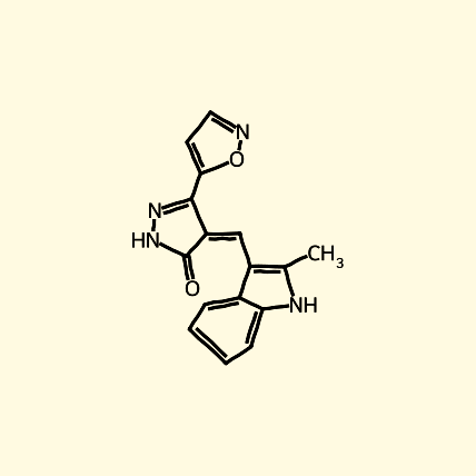 Cc1[nH]c2ccccc2c1C=C1C(=O)NN=C1c1ccno1